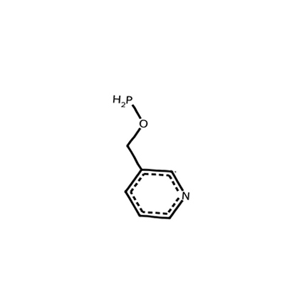 POCc1[c]nccc1